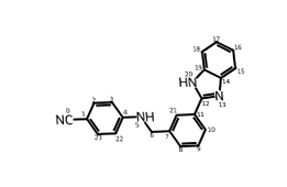 N#Cc1ccc(NCc2cccc(-c3nc4ccccc4[nH]3)c2)cc1